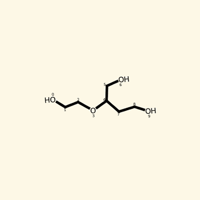 OCCOC(CO)CCO